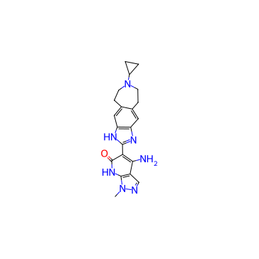 Cn1ncc2c(N)c(-c3nc4cc5c(cc4[nH]3)CCN(C3CC3)CC5)c(=O)[nH]c21